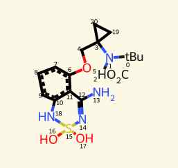 CC(C)(C)N(C(=O)O)C1(COc2cccc3c2C(N)=NS(O)(O)N3)CC1